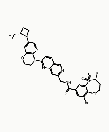 C[C@@H]1CCN1c1cnc2c(c1)OCCN2c1ccc2cnc(CNC(=O)c3cc(Br)c4c(c3)S(=O)(=O)[C@@H](F)CCO4)cc2n1